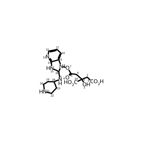 O=C(O)CC(O)(CC(=O)ON1c2cccnc2NC1NC1CCNCC1)C(=O)O